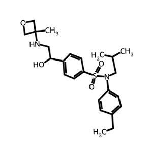 CCc1ccc(N(CC(C)C)S(=O)(=O)c2ccc(C(O)CNC3(C)COC3)cc2)cc1